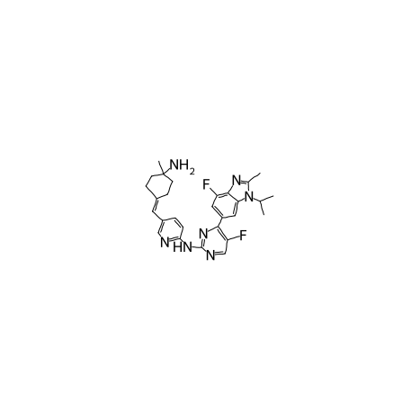 Cc1nc2c(F)cc(-c3nc(Nc4ccc(C=C5CCC(C)(N)CC5)cn4)ncc3F)cc2n1C(C)C